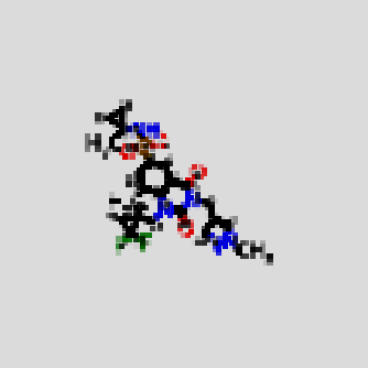 Cn1cc(Cn2c(=O)c3cc(S(=O)(=O)NC4(C)CC4)ccc3n(CC3(C)CC3(F)F)c2=O)cn1